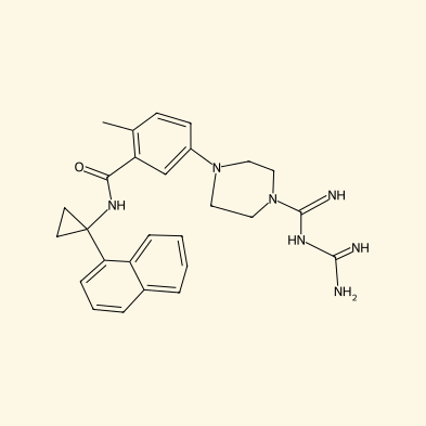 Cc1ccc(N2CCN(C(=N)NC(=N)N)CC2)cc1C(=O)NC1(c2cccc3ccccc23)CC1